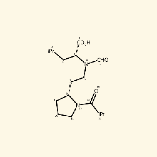 CC(C)C[C@H](C(=O)O)N(C=O)CC[C@H]1CCCN1C(=O)C(C)C